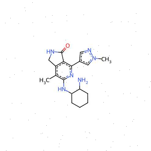 Cc1c(NC2CCCCC2N)nc(-c2cnn(C)c2)c2c1CNC2=O